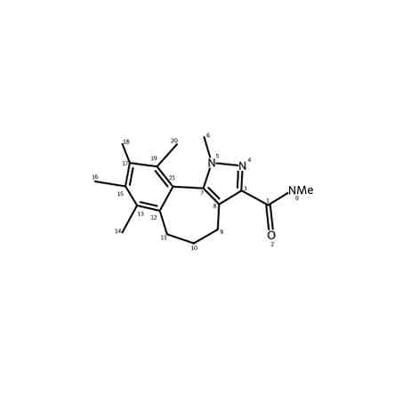 CNC(=O)c1nn(C)c2c1CCCc1c(C)c(C)c(C)c(C)c1-2